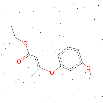 CCOC(=O)C=C(C)Oc1cccc(OC)c1